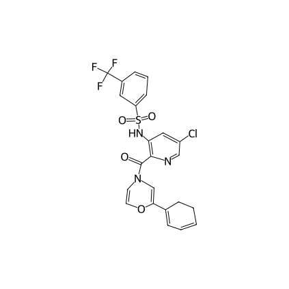 O=C(c1ncc(Cl)cc1NS(=O)(=O)c1cccc(C(F)(F)F)c1)N1C=COC(C2=CC=CCC2)=C1